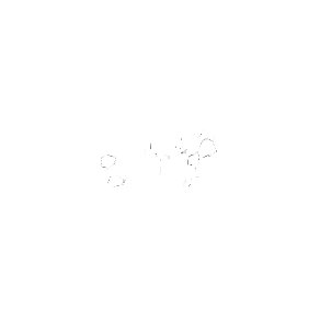 NC(=O)n1cc([C@]2(C(=O)O)C[C@H](NC(=O)OCC3c4ccccc4-c4ccccc43)CN2C(=O)O)c2ccccc21